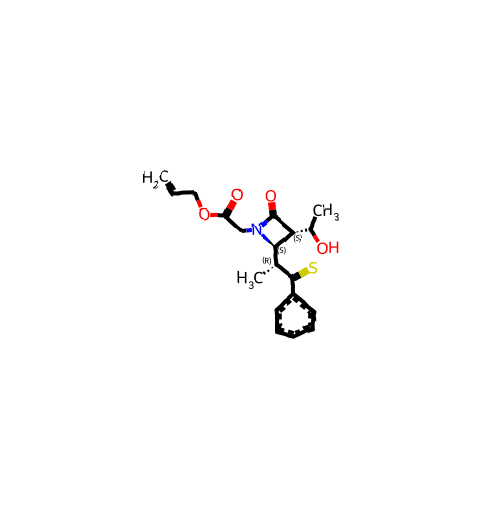 C=CCOC(=O)CN1C(=O)[C@H](C(C)O)[C@H]1[C@@H](C)C(=S)c1ccccc1